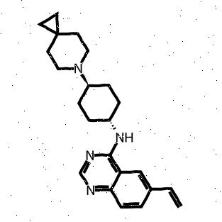 C=Cc1ccc2ncnc(N[C@H]3CC[C@H](N4CCC5(CC4)CC5)CC3)c2c1